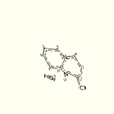 Br.O=c1ccn2ccccc2n1